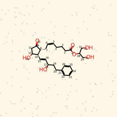 O=C(CCC/C=C\C[C@H]1C(=O)CC(O)[C@@H]1/C=C/C(O)CCc1ccccc1)OC(CO)CO